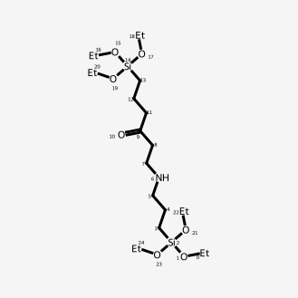 CCO[Si](CCCNCCC(=O)CCC[Si](OCC)(OCC)OCC)(OCC)OCC